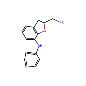 NCC1Cc2cccc(Nc3ccccc3)c2O1